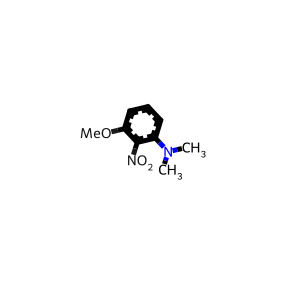 COc1cccc(N(C)C)c1[N+](=O)[O-]